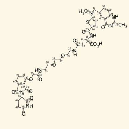 Cc1nc(=O)c2cc(CN(C)c3ccc(C(=O)N[C@@H](CCC(=O)NCCOCCOCCNC(=O)COc4cccc5c4C(=O)N(C4CCC(=O)NC4=O)C5=O)C(=O)O)s3)ccc2[nH]1